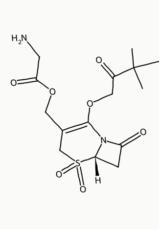 CC(C)(C)C(=O)COC1=C(COC(=O)CN)CS(=O)(=O)[C@H]2CC(=O)N12